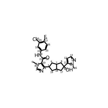 Cn1cnc(C2CC3CC(O)(c4ccnn4C)CC3C2)c1C(=O)Nc1ccc(F)c(Cl)c1